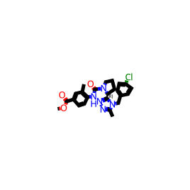 COC(=O)c1ccc(NC(=O)N2CCC[C@@H]2c2nnc(C)n2Cc2ccc(Cl)cc2)c(C)c1